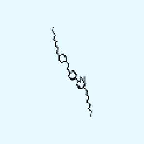 CCCCCCCCc1ccc(-c2ccc(CCC3CCC(CCCCCCCC)CC3)cc2)nc1